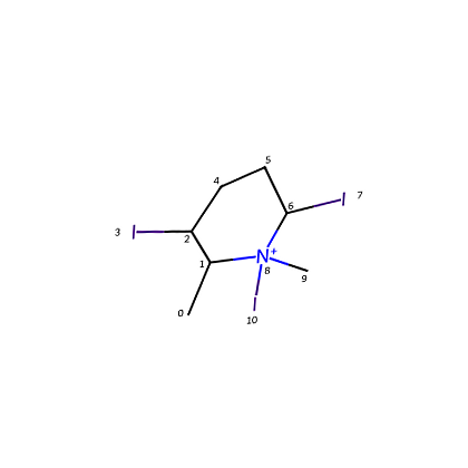 CC1C(I)CCC(I)[N+]1(C)I